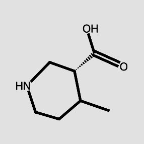 CC1CCNC[C@@H]1C(=O)O